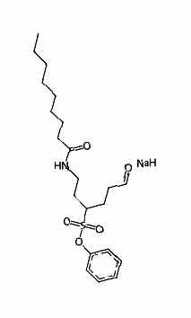 CCCCCCCCC(=O)NCCC(CCC=O)S(=O)(=O)Oc1ccccc1.[NaH]